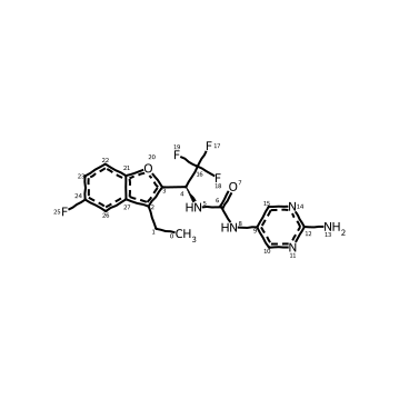 CCc1c([C@H](NC(=O)Nc2cnc(N)nc2)C(F)(F)F)oc2ccc(F)cc12